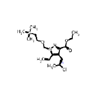 C=Cc1c(/C=C(\C)Cl)c(C(=O)OCC)nn1COCC[Si](C)(C)C